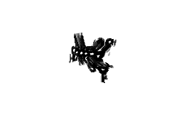 NC(=O)C1=C(O)[C@@H](N)[C@@H]2C[C@]3(CNC(=O)c4cc(F)cc(F)c4)Cc4c(N)ccc(O)c4C(=O)C3=C(O)[C@]2(O)C1=O